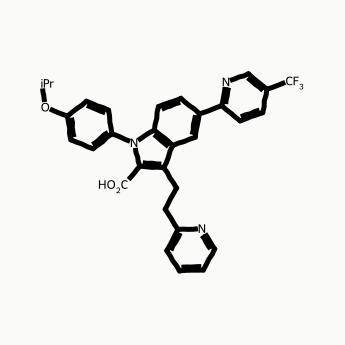 CC(C)Oc1ccc(-n2c(C(=O)O)c(CCc3ccccn3)c3cc(-c4ccc(C(F)(F)F)cn4)ccc32)cc1